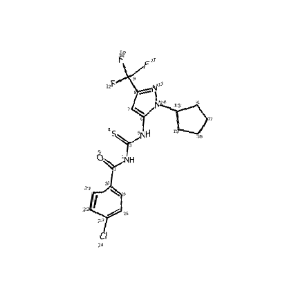 O=C(NC(=S)Nc1cc(C(F)(F)F)nn1C1CCCC1)c1ccc(Cl)cc1